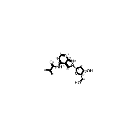 CC(C)C(=O)Nc1ncnc2nn([C@@H]3C[C@H](O)[C@@H](CO)O3)cc12